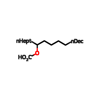 CCCCCCCCCCCCCCC(CCCCCCC)OC(=O)O